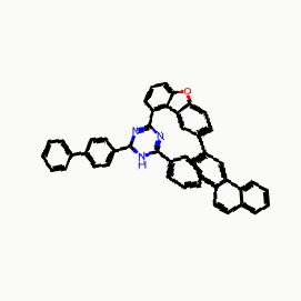 c1ccc(C2=NC(c3cccc4oc5ccc(-c6ccc7ccc8ccccc8c7c6)cc5c34)=NC(c3ccc(-c4ccccc4)cc3)N2)cc1